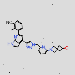 Cc1c(C#N)cccc1-c1cc(-c2cn(Cc3cccc(N4CC5(CC(=O)C5)C4)n3)nn2)c2cc[nH]c2n1